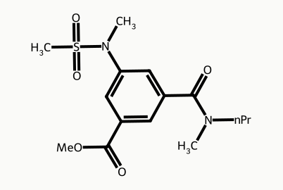 CCCN(C)C(=O)c1cc(C(=O)OC)cc(N(C)S(C)(=O)=O)c1